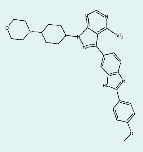 COc1ccc(-c2nc3ccc(-c4nn(C5CCC(N6CCOCC6)CC5)c5ncnc(N)c45)cc3[nH]2)cc1